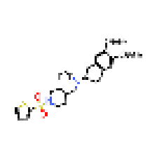 CCCN(CC1CCN(S(=O)(=O)c2cccs2)CC1)C1CCc2cc(OC)c(OC)cc2C1